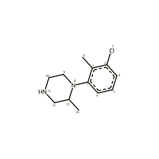 Cc1c(Cl)cccc1N1CCNCC1C